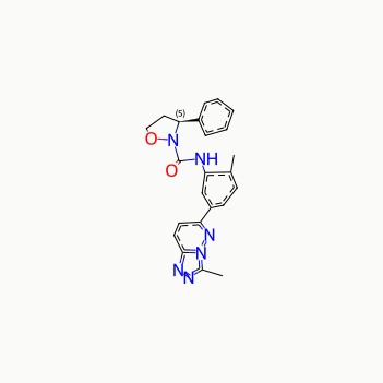 Cc1ccc(-c2ccc3nnc(C)n3n2)cc1NC(=O)N1OCC[C@H]1c1ccccc1